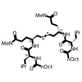 CCCCCCCCC(=O)N[C@@H](CC(C)C)C(=O)N[C@@H](CCC(=O)NC)CSSC[C@H](CCC(=O)NC)NC(=O)[C@H](CC(C)C)NC(=O)CCCCCCCC